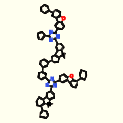 C[Si]1(C)c2ccc(-c3cccc(-c4cccc(-c5nc(-c6ccc7c(c6)-c6cccc(-c8ccccc8)c6[Si]7(C)C)nc(-c6ccc7oc8c(-c9ccccc9)cccc8c7c6)n5)c4)c3)cc2-c2cc(-c3nc(-c4ccccc4)nc(-c4ccc5oc6ccc(-c7ccccc7)cc6c5c4)n3)ccc21